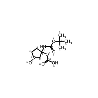 CC(C)(C)OC(=O)NC1(OC(=O)O)CC[S+]([O-])C1